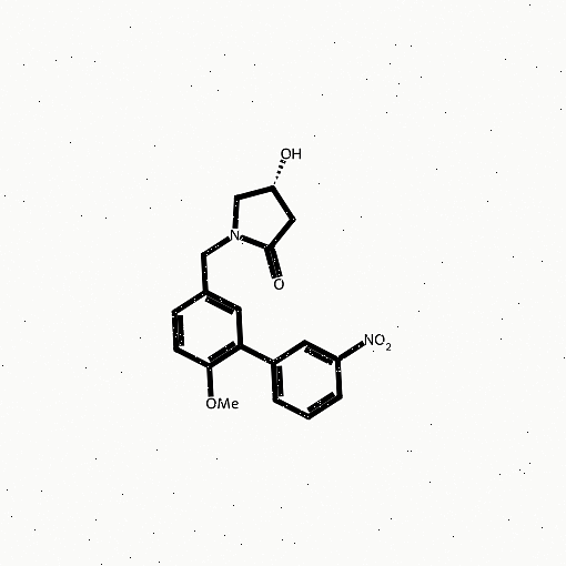 COc1ccc(CN2C[C@H](O)CC2=O)cc1-c1cccc([N+](=O)[O-])c1